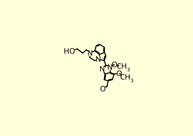 COc1cc(C=O)cc2nc(-c3cc4cccc5c4n3CCN5CCCO)n(OC)c12